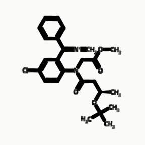 C=[N+]=C(c1ccccc1)c1cc(Cl)ccc1N(CC(=O)OC)C(=O)C[C@@H](C)OC(C)(C)C